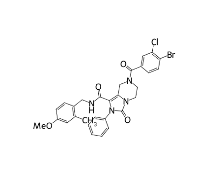 COc1ccc(CNC(=O)c2c3n(c(=O)n2-c2ccccc2)CCN(C(=O)c2ccc(Br)c(Cl)c2)C3)c(C)c1